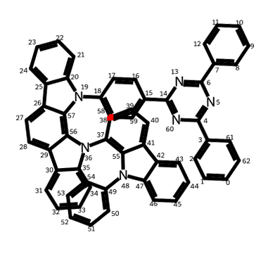 c1ccc(-c2nc(-c3ccccc3)nc(-c3ccc(-n4c5ccccc5c5ccc6c7ccccc7n(-c7cccc8c9ccccc9n(-c9ccccc9)c78)c6c54)cc3)n2)cc1